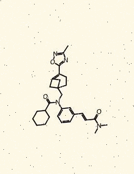 Cc1noc(C2=C3CC(CN(C(=O)C4CCCCC4)c4cccc(/C=C/C(=O)N(C)C)c4)(CC2)C3)n1